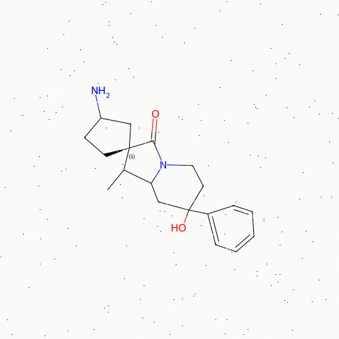 CC1C2CC(O)(c3ccccc3)CCN2C(=O)[C@]12CCC(N)C2